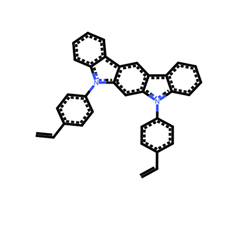 C=Cc1ccc(-n2c3ccccc3c3cc4c5ccccc5n(-c5ccc(C=C)cc5)c4cc32)cc1